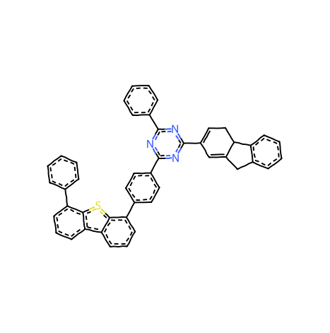 C1=C(c2nc(-c3ccccc3)nc(-c3ccc(-c4cccc5c4sc4c(-c6ccccc6)cccc45)cc3)n2)C=C2Cc3ccccc3C2C1